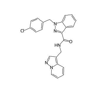 O=C(NCc1cnn2ccccc12)c1nn(Cc2ccc(Cl)cc2)c2ccccc12